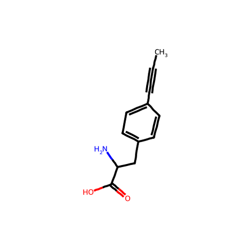 CC#Cc1ccc(CC(N)C(=O)O)cc1